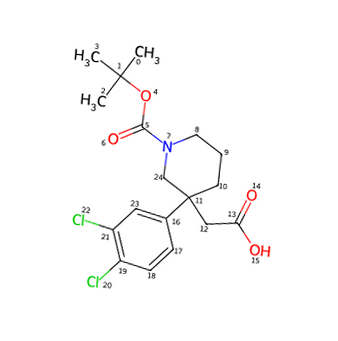 CC(C)(C)OC(=O)N1CCCC(CC(=O)O)(c2ccc(Cl)c(Cl)c2)C1